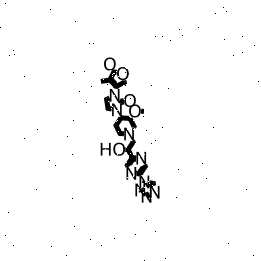 COC1CN(CC(O)c2cnc(-n3cnnn3)cn2)CCC1N1CCN(C2=C(C)C(=O)OC2)C1=O